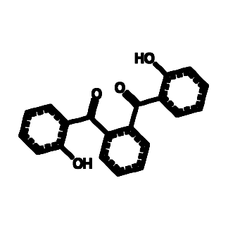 O=C(c1ccccc1O)c1ccccc1C(=O)c1ccccc1O